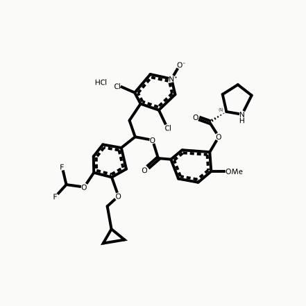 COc1ccc(C(=O)OC(Cc2c(Cl)c[n+]([O-])cc2Cl)c2ccc(OC(F)F)c(OCC3CC3)c2)cc1OC(=O)[C@@H]1CCCN1.Cl